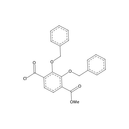 COC(=O)c1ccc(C(=O)Cl)c(OCc2ccccc2)c1OCc1ccccc1